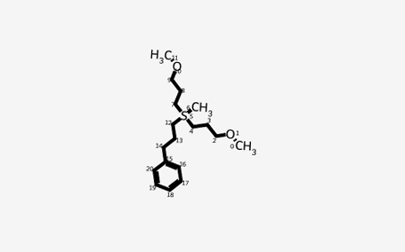 COCCCS(C)(CCCOC)CCCc1ccccc1